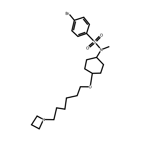 CN(C1CCC(OCCCCCCN2CCC2)CC1)S(=O)(=O)c1ccc(Br)cc1